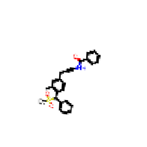 CCS(=O)(=O)C(c1ccccc1)c1ccc(CC#CNC(=O)c2ccccc2)cc1C